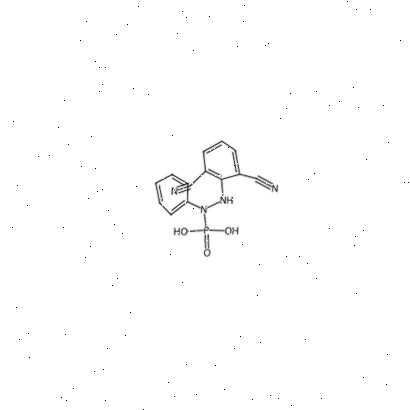 N#Cc1cccc(C#N)c1NN(c1ccccc1)P(=O)(O)O